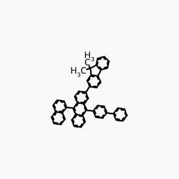 CC1(C)c2ccccc2-c2ccc(-c3ccc4c(-c5cccc6ccccc56)c5ccccc5c(-c5ccc(-c6ccccc6)cc5)c4c3)cc21